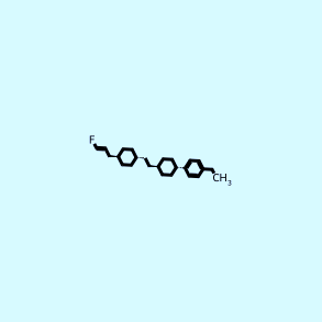 CCc1ccc([C@H]2CC[C@H](CC[C@H]3CC[C@H](C/C=C/F)CC3)CC2)cc1